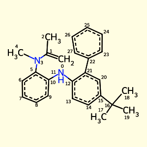 C=C(C)N(C)c1ccccc1Nc1ccc(C(C)(C)C)cc1-c1ccccc1